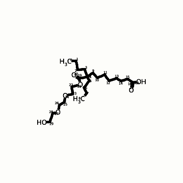 CCCCC(CCCC)(CCCCCCCC(=O)O)C(=O)OCCOCCOCCO